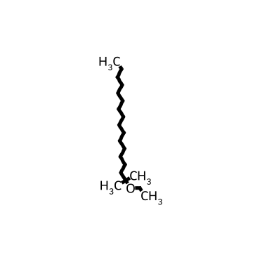 CCCCCCCCCCCCCCCC(C)(C)OCC